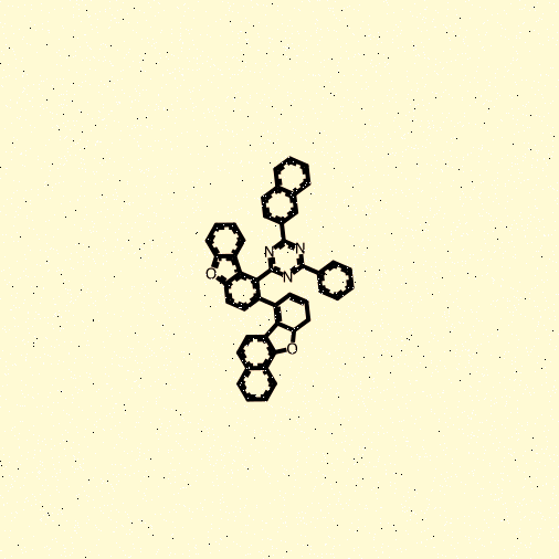 C1=CC(c2ccc3oc4ccccc4c3c2-c2nc(-c3ccccc3)nc(-c3ccc4ccccc4c3)n2)=C2c3ccc4ccccc4c3OC2C1